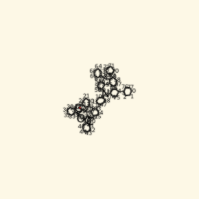 c1ccc(-c2ccc(N(c3ccc(-c4cccc5c4-c4ccccc4C54c5ccc6ccccc6c5Oc5c4ccc4ccccc54)cc3)c3cccc4c3-c3ccccc3C4(c3ccccc3)c3ccccc3)cc2)cc1